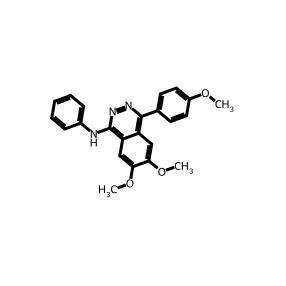 COc1ccc(-c2nnc(Nc3ccccc3)c3cc(OC)c(OC)cc23)cc1